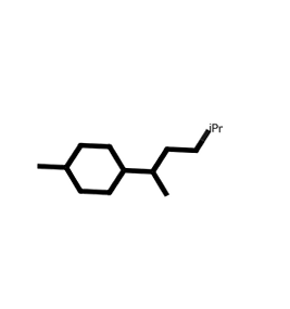 CC(C)CCC(C)C1CCC(C)CC1